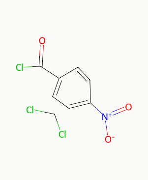 ClCCl.O=C(Cl)c1ccc([N+](=O)[O-])cc1